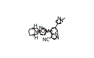 CO[C@H]1C[C@H]2CCC[C@@H](C1)N2c1ccc(-c2cc(-c3cnn(C)c3)cn3ncc(C#N)c23)cn1